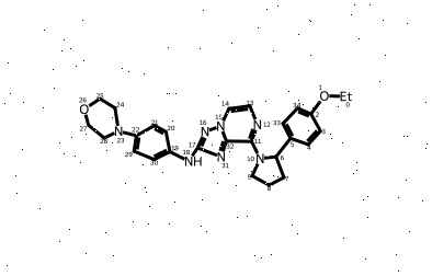 CCOc1ccc(C2CCCN2c2nccn3nc(Nc4ccc(N5CCOCC5)cc4)nc23)cc1